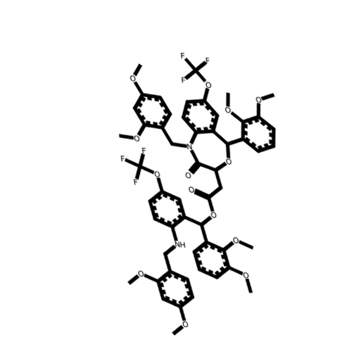 COc1ccc(CNc2ccc(OC(F)(F)F)cc2C(OC(=O)CC2OC(c3cccc(OC)c3OC)c3cc(OC(F)(F)F)ccc3N(Cc3ccc(OC)cc3OC)C2=O)c2cccc(OC)c2OC)c(OC)c1